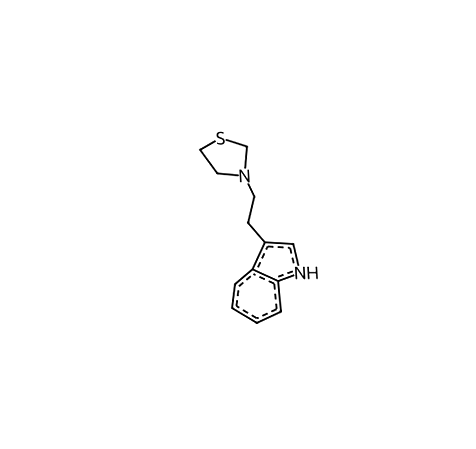 c1ccc2c(CCN3CCSC3)c[nH]c2c1